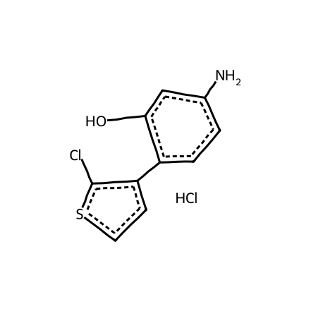 Cl.Nc1ccc(-c2ccsc2Cl)c(O)c1